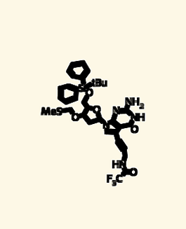 CSCOC1CC(n2cc(C#CCNC(=O)C(F)(F)F)c3c(=O)[nH]c(N)nc32)OC1CO[Si](c1ccccc1)(c1ccccc1)C(C)(C)C